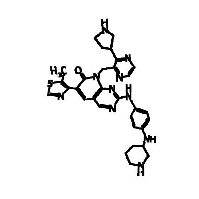 Cc1scnc1-c1cc2cnc(Nc3ccc(NC4CCCNC4)cc3)nc2n(Cc2nccnc2C2CCNC2)c1=O